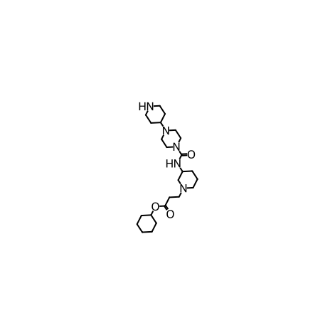 O=C(CCN1CCCC(NC(=O)N2CCN(C3CCNCC3)CC2)C1)OC1CCCCC1